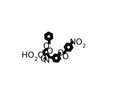 O=C(C[C@@]1(C(=O)O)CC(c2cccc(OC(=O)c3ccc([N+](=O)[O-])cc3)c2)=NO1)OCc1ccccc1